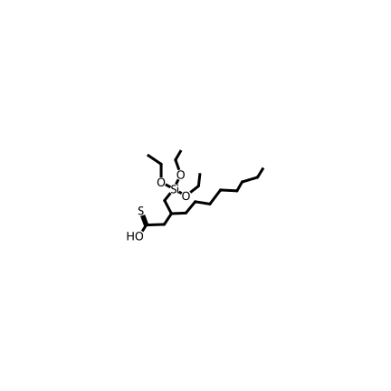 CCCCCCCCC(CC(O)=S)C[Si](OCC)(OCC)OCC